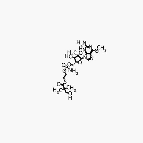 COc1nc(N)nc2c1ncn2C1O[C@H](COP(N)(=O)OCCSC(=O)C(C)(C)CO)C(O)[C@]1(C)O